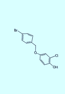 Oc1ccc(OCc2ccc(Br)cc2)cc1Cl